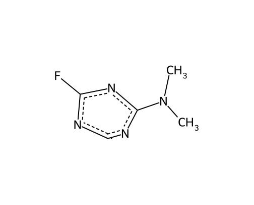 CN(C)c1n[c]nc(F)n1